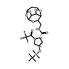 CC(C)(C)[Si](C)(C)O[C@@H]1C[C@@H](C(=O)NCC2OC3OCCCOC2C(O)C3O)N(C(=O)C(F)(F)F)C1